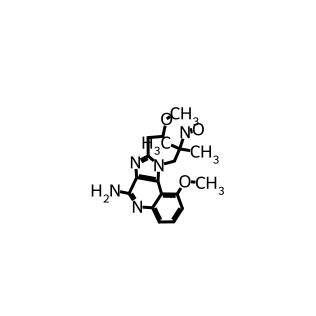 COCCc1nc2c(N)nc3cccc(OC)c3c2n1CC(C)(C)N=O